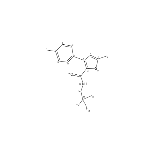 Cc1ccc(-c2cc(C)sc2C(=O)NCC(C)(C)F)cc1